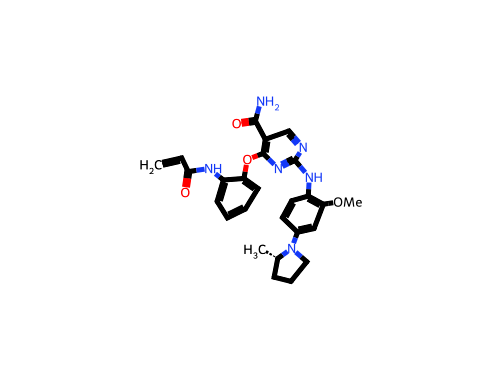 C=CC(=O)Nc1ccccc1Oc1nc(Nc2ccc(N3CCC[C@@H]3C)cc2OC)ncc1C(N)=O